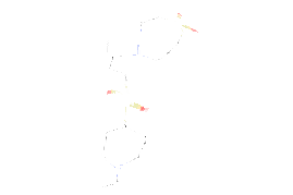 CCN1CCC(S(=O)(=O)CCC(C)N2CCS(=O)(=O)CC2)CC1